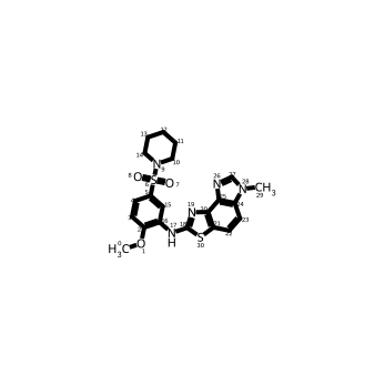 COc1ccc(S(=O)(=O)N2CCCCC2)cc1Nc1nc2c(ccc3c2ncn3C)s1